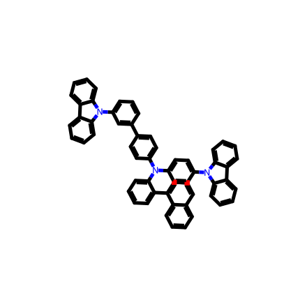 c1cc(-c2ccc(N(c3ccc(-n4c5ccccc5c5ccccc54)cc3)c3ccccc3-c3cccc4ccccc34)cc2)cc(-n2c3ccccc3c3ccccc32)c1